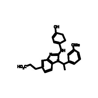 COc1cccc(C(C)n2c(NC3=CC=C(O)CC3)nc3cc(CCC(=O)O)ccc32)c1